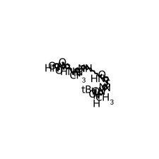 CC1(NC(=O)OC(C)(C)C)CCN(c2cnc(Sc3cccc(NC(=O)CCCCCCN4CC5(CCN(c6ccc(C(NCc7ccc8c(c7)CN(C7CCC(=O)NC7=O)C8=O)C(F)(F)F)nn6)C5)C4)c3)cn2)CC1